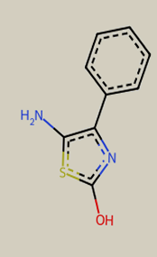 Nc1sc(O)nc1-c1ccccc1